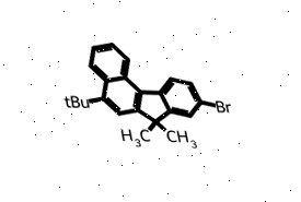 CC(C)(C)c1cc2c(c3ccccc13)-c1ccc(Br)cc1C2(C)C